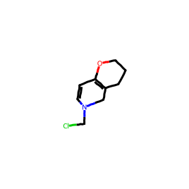 ClCN1C=CC2=C(CCCO2)C1